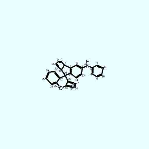 C1=CC2c3cc(Nc4ccccc4)ccc3C3(c4ccccc4Oc4ccccc43)C2C=C1